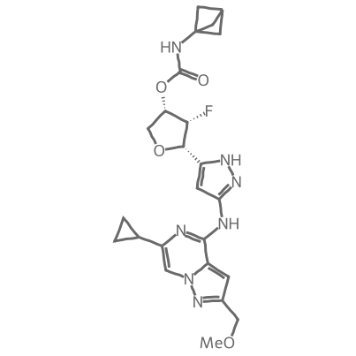 COCc1cc2c(Nc3cc([C@@H]4OC[C@H](OC(=O)NC56CC(C5)C6)[C@@H]4F)[nH]n3)nc(C3CC3)cn2n1